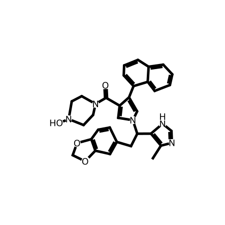 Cc1nc[nH]c1C(Cc1ccc2c(c1)OCO2)n1cc(C(=O)N2CCN(O)CC2)c(-c2cccc3ccccc23)c1